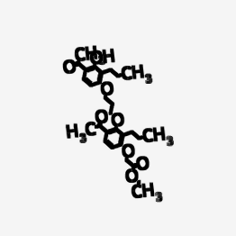 CCCc1c(OCCCOc2c(C(C)=O)ccc(OCC(=O)OCC)c2CCC)ccc(C(C)=O)c1O